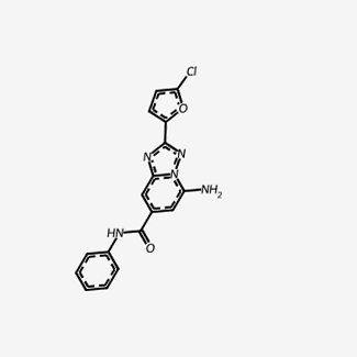 Nc1cc(C(=O)Nc2ccccc2)cc2nc(-c3ccc(Cl)o3)nn12